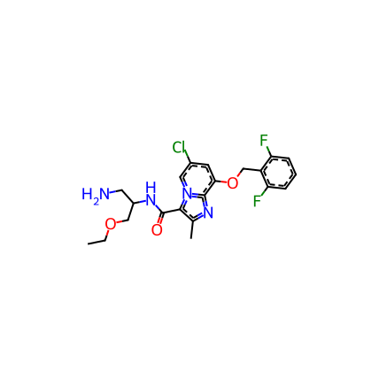 CCOCC(CN)NC(=O)c1c(C)nc2c(OCc3c(F)cccc3F)cc(Cl)cn12